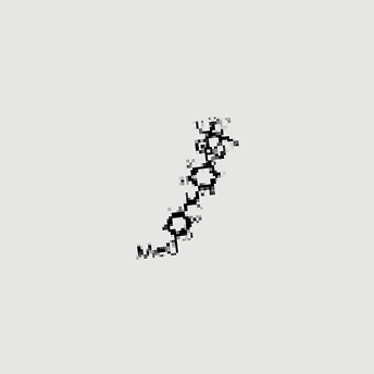 COc1ccc(C=Cc2ccc(B3OC(C)(C)C(C)(C)O3)cc2)cc1